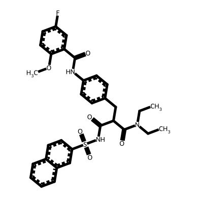 CCN(CC)C(=O)C(Cc1ccc(NC(=O)c2cc(F)ccc2OC)cc1)C(=O)NS(=O)(=O)c1ccc2ccccc2c1